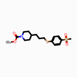 CC(C)(C)OC(=O)N1CCC(CCCSc2ccc(S(C)(=O)=O)cc2)CC1